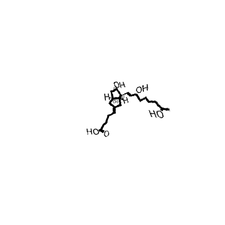 CC(O)CCCCC(O)C=C[C@H]1[C@@H]2CC(=CCCCC(=O)O)C[C@H]2C[C@@H]1O